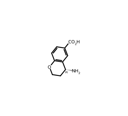 N[C@@H]1CCOc2ccc(C(=O)O)cc21